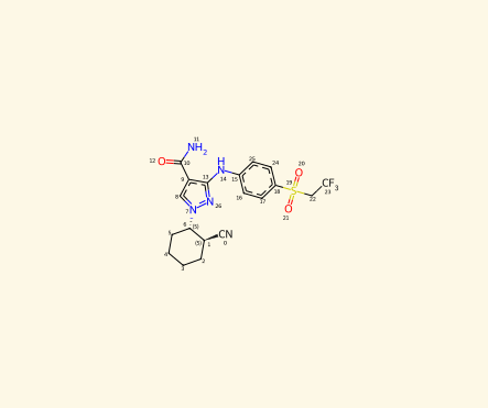 N#C[C@H]1CCCC[C@@H]1n1cc(C(N)=O)c(Nc2ccc(S(=O)(=O)CC(F)(F)F)cc2)n1